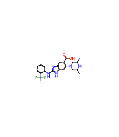 CC1CN(c2cc3[nH]c(Nc4ccccc4C(F)(F)F)nc3cc2C(=O)O)CC(C)N1